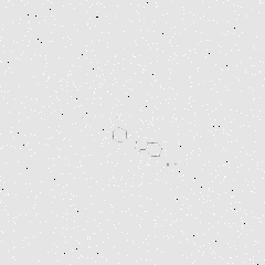 CCCCCCCCC1(C)Cc2ccc(-c3nc4cc(CCCCCC)ccc4o3)cc2C1=O